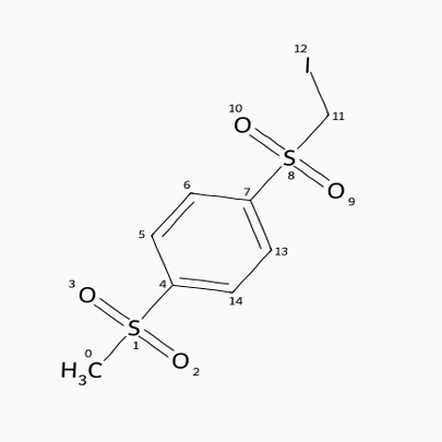 CS(=O)(=O)c1ccc(S(=O)(=O)CI)cc1